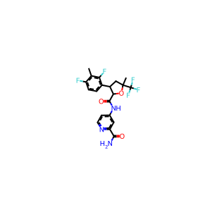 Cc1c(F)ccc(C2CC(C)(C(F)(F)F)OC2C(=O)Nc2ccnc(C(N)=O)c2)c1F